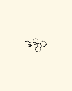 C=CC(O)C1CCC[Si](c2ccccc2)(c2ccccc2)O1